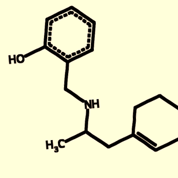 CC(CC1=CCCCC1)NCc1ccccc1O